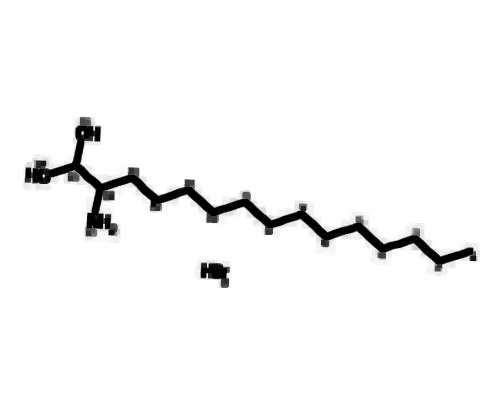 Br.CCCCCCCCCCCCCC(N)C(O)O